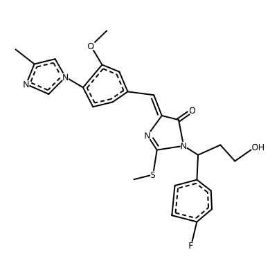 COc1cc(/C=C2\N=C(SC)N(C(CCO)c3ccc(F)cc3)C2=O)ccc1-n1cnc(C)c1